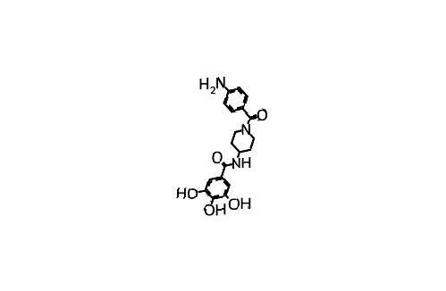 Nc1ccc(C(=O)N2CCC(NC(=O)c3cc(O)c(O)c(O)c3)CC2)cc1